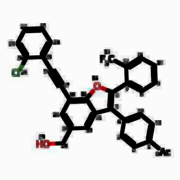 CC(=O)c1ccc(-c2c(-c3ccccc3C(F)(F)F)oc3c(C#Cc4ccccc4Cl)cc(CO)cc23)cc1